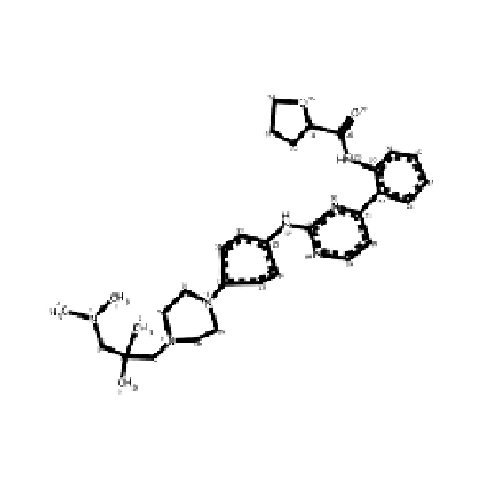 CN(C)CC(C)(C)CN1CCN(c2ccc(Nc3nccc(-c4ccccc4NC(=O)C4CCCO4)n3)cc2)CC1